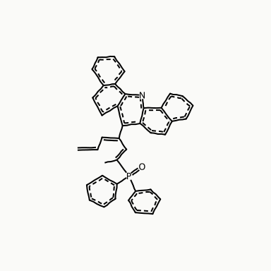 C=C/C=C(\C=C(/C)P(=O)(c1ccccc1)c1ccccc1)c1c2ccc3ccccc3c2nc2c1ccc1ccccc12